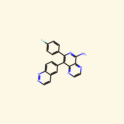 Nc1nc(-c2ccc(F)cc2)c(-c2ccc3nnccc3c2)c2nccnc12